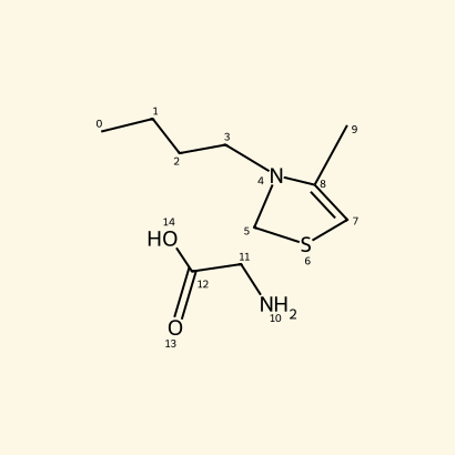 CCCCN1CSC=C1C.NCC(=O)O